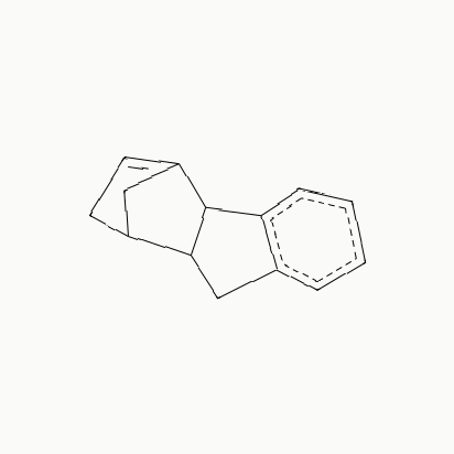 C1=C2CC(C1)C1Cc3ccccc3C21